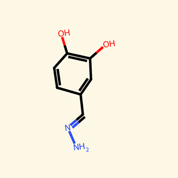 NN=Cc1ccc(O)c(O)c1